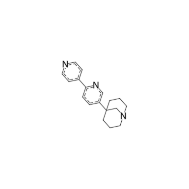 c1cc(-c2ccc(C34CCCN(CCC3)C4)cn2)ccn1